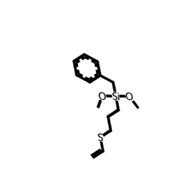 C=CSCCC[Si](Cc1ccccc1)(OC)OC